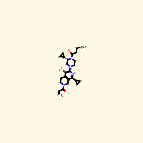 C=CC(=O)N1CCc2c(C#N)c(N3CCN(C(=O)CCOC)[C@H](C4CC4)C3)nc(C3CC3)c2C1